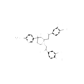 COc1ccc(C2(O)CCN(CC(O)c3ccc(O)c(C)c3)C(CC(O)c3ccc(O)c(C)c3)C2)cn1